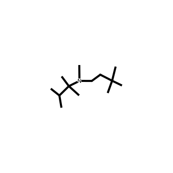 CC(C)C(C)(C)N(C)CCC(C)(C)C